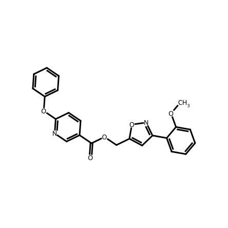 COc1ccccc1-c1cc(COC(=O)c2ccc(Oc3ccccc3)nc2)on1